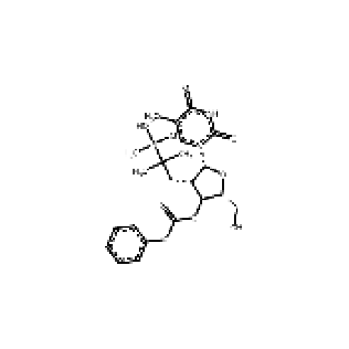 Cc1cn([C@@H]2O[C@H](CO)C(OC(=S)Oc3ccccc3)[C@@H]2CC(C)(C)[Si](C)(C)O)c(=O)[nH]c1=O